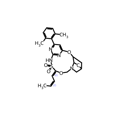 C/C=C\C=C1/OCN2CC3CC(Oc4cc(-c5c(C)cccc5C)nc(n4)NS1(=O)=O)C2C3